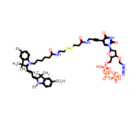 CCc1ccc2c(c1)C(C)(C)C(/C=C/C=C1/N(CC)c3ccc(S(=O)(=O)O)cc3C1(C)C)=[N+]2CCCCCC(=O)NCCSSCCC(=O)NCC#Cc1cn(C2CC(OCN=[N+]=[N-])C(COP(=O)(O)OP(=O)(O)OP(=O)(O)O)O2)c(=O)[nH]c1=O